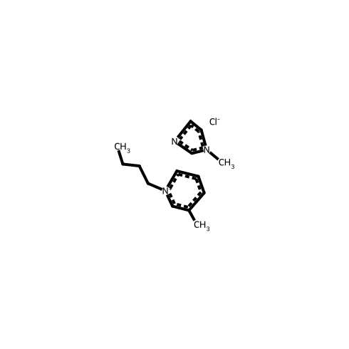 CCCC[n+]1cccc(C)c1.Cn1ccnc1.[Cl-]